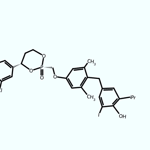 Cc1cc(OC[P@@]2(=O)OCC[C@@H](c3cccc(Cl)c3)O2)cc(C)c1Cc1cc(I)c(O)c(C(C)C)c1